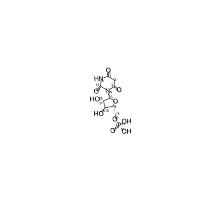 O=C1CC(=O)N([C@H]2O[C@H](COP(=O)(O)O)[C@@H](O)[C@@H]2O)C(=O)N1